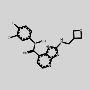 N=C(c1ccnc2nc(NCC3COC3)[nH]c12)N(O)c1ccc(F)c(Cl)c1